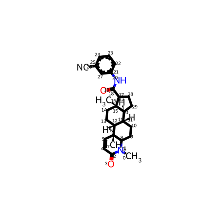 CN1C(=O)C=C[C@@]2(C)C1CC[C@@H]1[C@H]2CC[C@]2(C)C(C(=O)Nc3cccc(C#N)c3)CC[C@@H]12